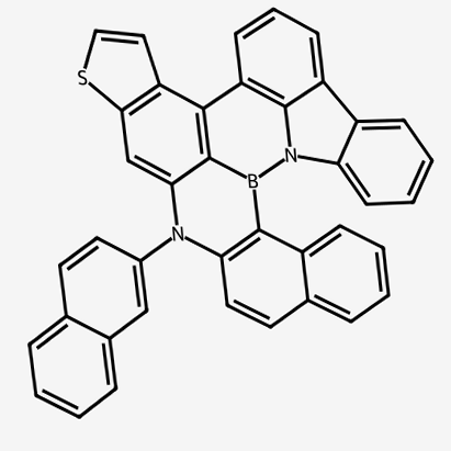 c1ccc2cc(N3c4cc5sccc5c5c4B(c4c3ccc3ccccc43)n3c4ccccc4c4cccc-5c43)ccc2c1